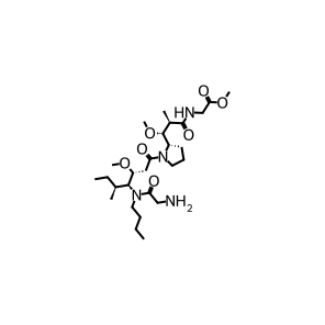 CCCCN(C(=O)CN)[C@@H]([C@@H](C)CC)[C@@H](CC(=O)N1CCC[C@H]1[C@H](OC)[C@@H](C)C(=O)NCC(=O)OC)OC